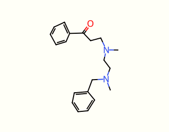 CN(CCC(=O)c1ccccc1)CCN(C)Cc1ccccc1